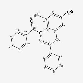 CCCCc1cc(OC(=O)c2ccccc2)c(OC(=O)c2ccccc2)c(C(C)C)c1